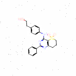 O=S1(=O)CCCc2nc(-c3ccccc3)nc(Nc3ccc(CCO)cc3)c21